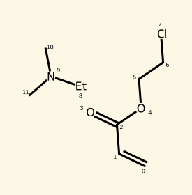 C=CC(=O)OCCCl.CCN(C)C